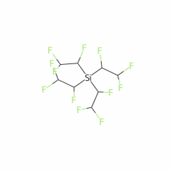 FC(F)C(F)[Si](C(F)C(F)F)(C(F)C(F)F)C(F)C(F)F